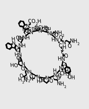 CCCC[C@H]1C(=O)N(C)[C@@H](CCCC)C(=O)N[C@@H](CN)C(=O)N[C@H](C(=O)NCC(N)=O)CSCC(=O)N[C@@H](Cc2ccc(O)cc2)C(=O)N(C)[C@@H](C)C(=O)N[C@@H](CC(N)=O)C(=O)N2CCC[C@H]2C(=O)N[C@@H](CN)C(=O)N[C@@H](CCC(N)=O)C(=O)N2C[C@H](O)C[C@H]2C(=O)N[C@@H](Cc2c[nH]c3ccccc23)C(=O)N[C@@H](CO)C(=O)N[C@@H](Cc2cn(CC(=O)O)c3ccccc23)C(=O)N1C